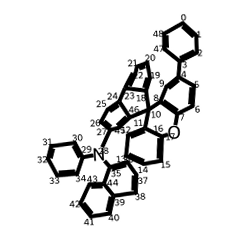 c1ccc(-c2ccc3c(c2)C2(c4ccccc4O3)c3ccccc3-c3ccc(N(c4ccccc4)c4cccc5ccccc45)cc32)cc1